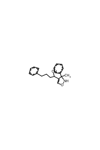 CC1(c2ccccc2)NOC=C1C(O)CCCc1ccccc1